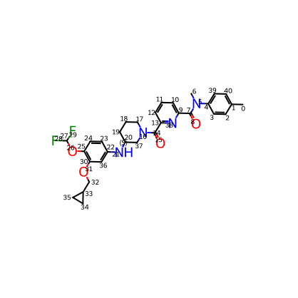 Cc1ccc(N(C)C(=O)c2cccc(C(=O)N3CCC[C@H](Nc4ccc(OC(F)F)c(OCC5CC5)c4)C3)n2)cc1